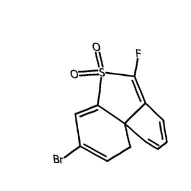 O=S1(=O)C2=CC(Br)=CCC23C=CC=CC3=C1F